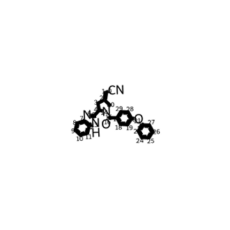 N#CC=C1CC(c2nc3ccccc3[nH]2)N(C(=O)c2ccc(Oc3ccccc3)cc2)C1